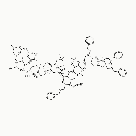 CCC1O[C@@H](OC2[C@H](O[C@H]3CCC4(C)C5CC=C6C7CC(C)(C)CC[C@]7(C(=O)O[C@@H]7OC(COCc8ccccc8)[C@H](N=[N+]=[N-])C(C)C7O[C@@H]7OC(C)[C@H](O[C@@H]8OC[C@@H](OCc9ccccc9)C(O[C@@H]9OCC%10(COCc%11ccccc%11)O[C@@H](c%11ccccc%11)O[C@H]9%10)C8C)C8OC(C)(C)OC87)C(OC)C[C@@]6(C)[C@@]5(C)CC[C@H]4[C@@]3(C)C=O)OC(C(C)=O)[C@@H](C)[C@@H]2O[C@@H]2OC[C@@H](C)[C@H](C)C2C)C(C)[C@@H](C)[C@H]1C